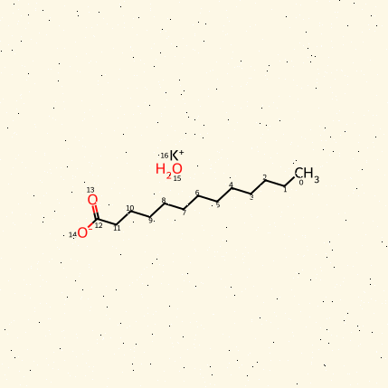 CCCCCCCCCCCCC(=O)[O-].O.[K+]